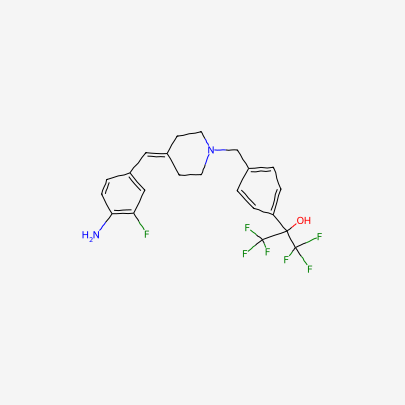 Nc1ccc(C=C2CCN(Cc3ccc(C(O)(C(F)(F)F)C(F)(F)F)cc3)CC2)cc1F